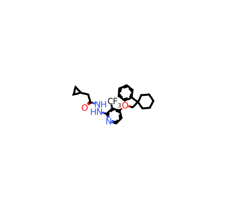 O=C(CC1CC1)NNc1nccc(OCC2(c3ccccc3)CCCCC2)c1C(F)(F)F